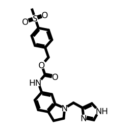 CS(=O)(=O)c1ccc(COC(=O)Nc2ccc3c(c2)N(Cc2c[nH]cn2)CC3)cc1